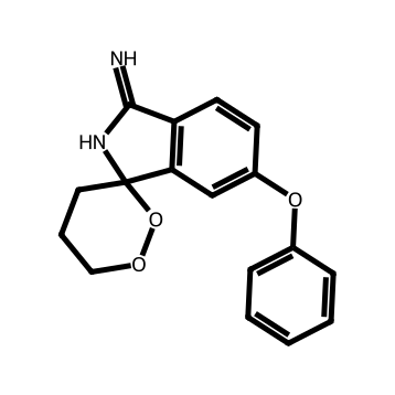 N=C1NC2(CCCOO2)c2cc(Oc3ccccc3)ccc21